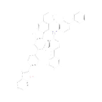 C=Cc1cc2oc3cc(-c4ccc(-c5cc6ccccc6o5)cc4)ccc3c2c(N(c2ccc(-c3ccccc3)cc2)c2ccc(-c3ccccc3)cc2)c1C=C